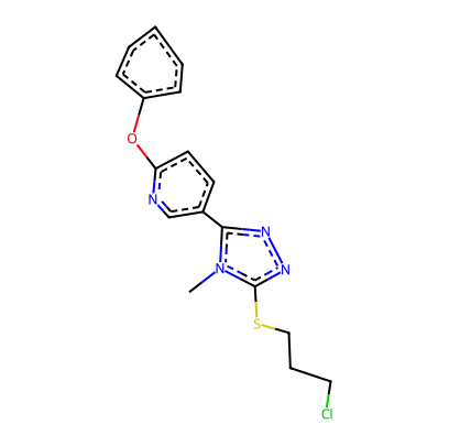 Cn1c(SCCCCl)nnc1-c1ccc(Oc2ccccc2)nc1